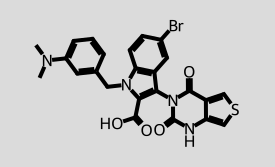 CN(C)c1cccc(Cn2c(C(=O)O)c(-n3c(=O)[nH]c4cscc4c3=O)c3cc(Br)ccc32)c1